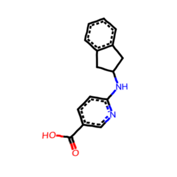 O=C(O)c1ccc(NC2Cc3ccccc3C2)nc1